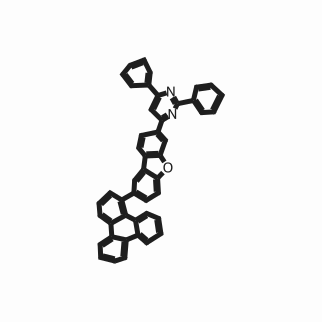 c1ccc(-c2cc(-c3ccc4c(c3)oc3ccc(-c5cccc6c7ccccc7c7ccccc7c56)cc34)nc(-c3ccccc3)n2)cc1